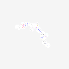 CS(=O)(=O)N1CCN(Cc2cc(Cl)c(CC(=O)N3CCN(c4ccc(C(=O)NCc5cccc(N6CCCC6)c5)cc4)CC3)c(Cl)c2)CC1